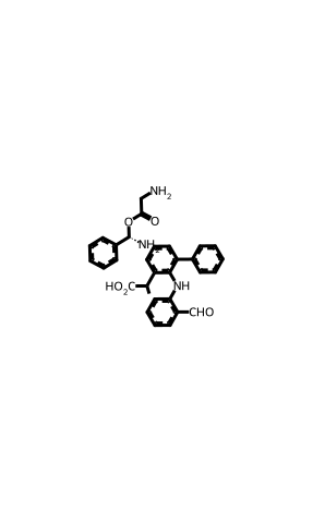 CC(C(=O)O)c1cccc(-c2ccccc2)c1Nc1ccccc1C=O.NCC(=O)O[C@H](N)c1ccccc1